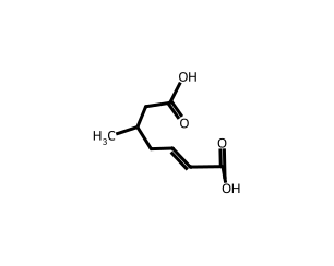 CC(CC=CC(=O)O)CC(=O)O